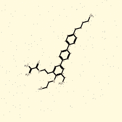 C=C(C)C(=O)OCCc1cc(-c2ccc(-c3ccc(CCCCC)cc3)cc2)cc(CC)c1OCCO